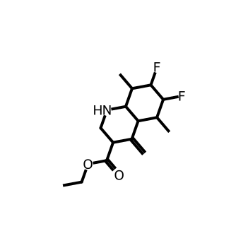 C=C1C(C(=O)OCC)CNC2C(C)C(F)C(F)C(C)C12